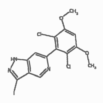 COc1cc(OC)c(Cl)c(-c2cc3[nH]nc(I)c3cn2)c1Cl